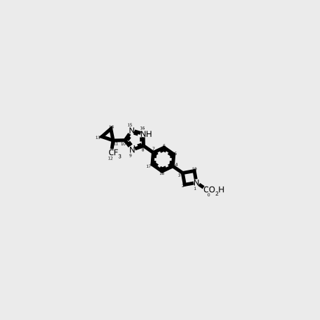 O=C(O)N1CC(c2ccc(-c3nc(C4(C(F)(F)F)CC4)n[nH]3)cc2)C1